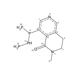 CN1CCc2cncc(P(P)PP)c2C1=O